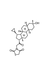 C[C@@]1(O)CC[C@H]2[C@H](CC[C@@H]3[C@@H]2CC[C@@]2(C)[C@H]3[C@H](C3CC3)C[C@@H]2C(=O)CN2C(=O)CSC2=O)C1